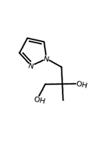 CC(O)(CO)Cn1cccn1